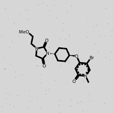 COCCN1CC(=O)N([C@H]2CC[C@H](Oc3cc(=O)n(C)cc3Br)CC2)C1=O